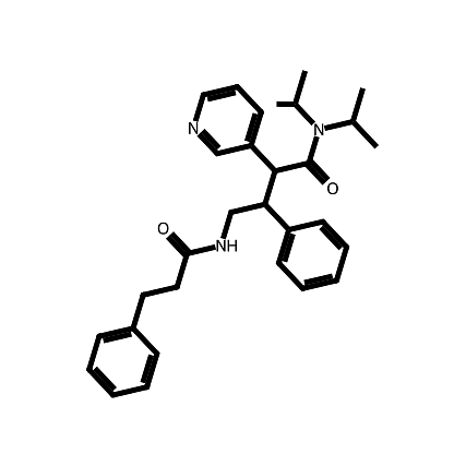 CC(C)N(C(=O)C(c1cccnc1)C(CNC(=O)CCc1ccccc1)c1ccccc1)C(C)C